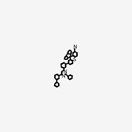 N#Cc1ccc2c(c1)C1(c3cc(-c4cccc(-c5cc(-c6cccc(-c7ccccc7)c6)nc(-c6ccccc6)n5)c4)ccc3S2)c2ccccc2-c2ccccc21